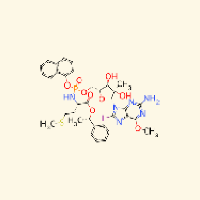 COc1nc(N)nc2c1nc(I)n2[C@@H]1O[C@H](COP(=O)(N[C@@H](CCSC)C(=O)O[C@@H](C)c2ccccc2)Oc2cccc3ccccc23)[C@@H](O)[C@@]1(C)O